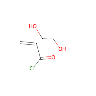 C=CC(=O)Cl.OCCO